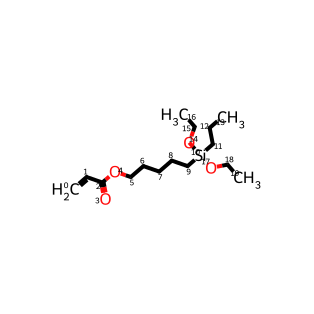 C=CC(=O)OCCCCC[Si](CCC)(OCC)OCC